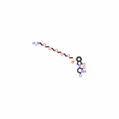 NCCOCCOCCOCCOCCOCC[S+]([O-])c1cccc2c1CN(C1CCC(=O)NC1=O)C2=O